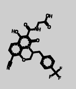 N#Cc1ccc2c(O)c(C(=O)NCC(=O)O)c(=O)n3c2c1OCC3Cc1ccc(C(F)(F)F)cc1